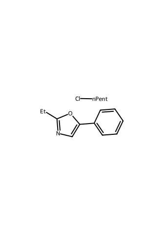 CCCCCCl.CCc1ncc(-c2ccccc2)o1